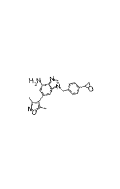 Cc1noc(C)c1-c1cc(N)c2ncn(Cc3ccc(C4CO4)cc3)c2c1